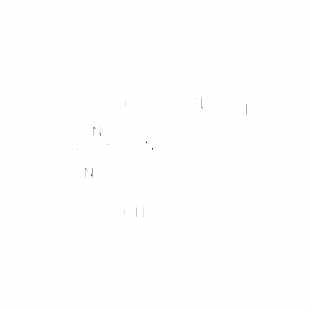 [CH2]C(CCN1CCC(C(=O)N(C)CCO)(N2CCCCC2=O)CC1)c1ccc(Cl)c(Cl)c1